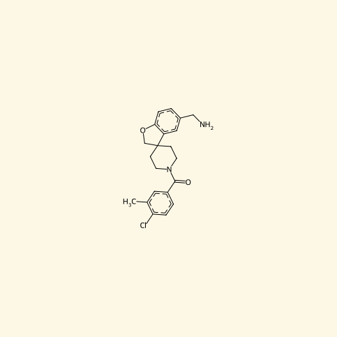 Cc1cc(C(=O)N2CCC3(CC2)COc2ccc(CN)cc23)ccc1Cl